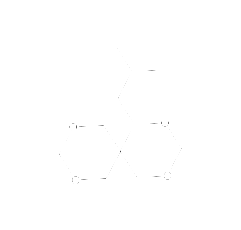 CC(C)CC1OCOCC12COCOC2